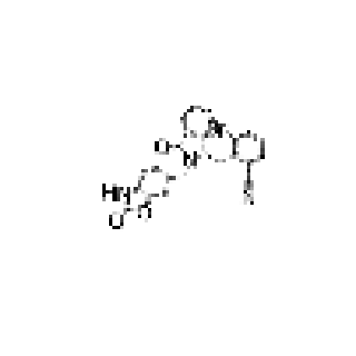 N#Cc1cccc(Br)c1CC1c2ccccc2C(=O)N1Cc1ccc2[nH]c(=O)oc2c1